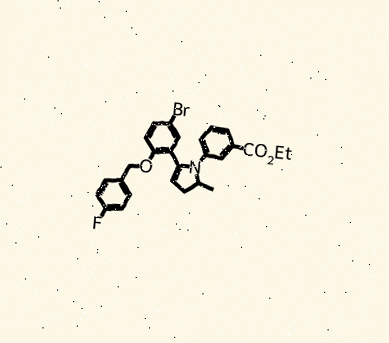 CCOC(=O)c1cccc(N2C(c3cc(Br)ccc3OCc3ccc(F)cc3)=CCC2C)c1